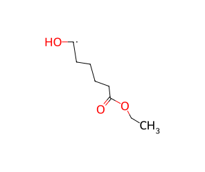 CCOC(=O)CCCC[CH]O